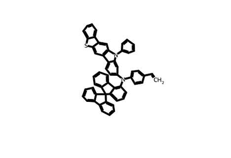 C=Cc1ccc(N(c2ccc3c4cc5sc6ccccc6c5cc4n(-c4ccccc4)c3c2)c2cccc3c2-c2ccccc2C32c3ccccc3-c3ccccc32)cc1